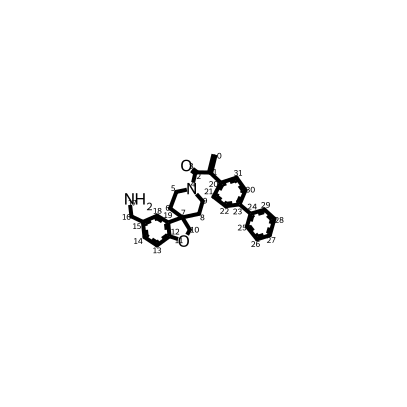 C=C(C(=O)N1CCC2(CC1)COc1ccc(CN)cc12)c1ccc(-c2ccccc2)cc1